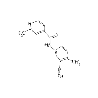 C#Cc1cc(NC(=O)c2ccnc(C(F)(F)F)c2)ccc1C